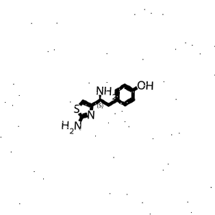 Nc1nc([C@@H](N)Cc2ccc(O)cc2)cs1